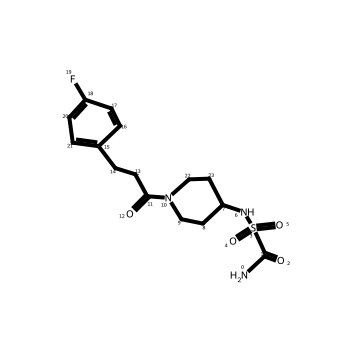 NC(=O)S(=O)(=O)NC1CCN(C(=O)[CH]Cc2ccc(F)cc2)CC1